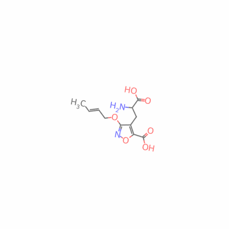 CC=CCOc1noc(C(=O)O)c1CC(N)C(=O)O